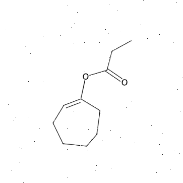 CCC(=O)OC1=CCCCCC1